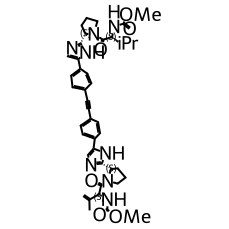 C=C(C)[C@H](NC(=O)OC)C(=O)N1CCC[C@H]1c1ncc(-c2ccc(C#Cc3ccc(-c4cnc([C@@H]5CCCN5C(=O)[C@@H](NC(=O)OC)C(C)C)[nH]4)cc3)cc2)[nH]1